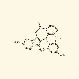 Cc1cc(C)c(N2c3ccccc3C(=O)Oc3c2oc2ccc(C)cc32)c(C)c1